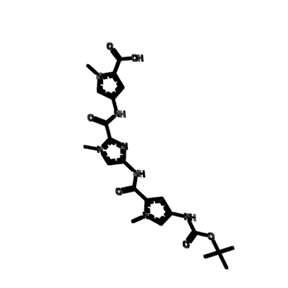 Cn1cc(NC(=O)c2nc(NC(=O)c3cc(NC(=O)OC(C)(C)C)cn3C)cn2C)cc1C(=O)O